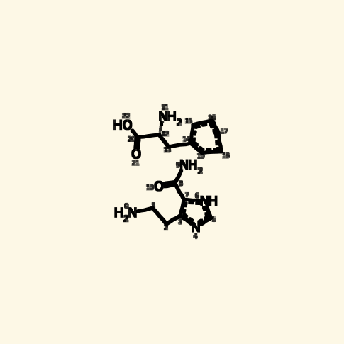 NCCc1nc[nH]c1C(N)=O.N[C@H](Cc1ccccc1)C(=O)O